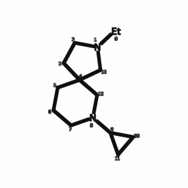 CCN1CCC2(CCCN(C3CC3)C2)C1